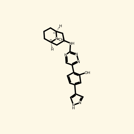 CN1[C@@H]2CCC[C@H]1CC(Nc1ncc(-c3ccc(-c4cn[nH]c4)cc3O)nn1)C2